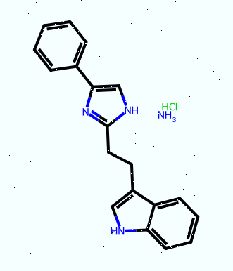 Cl.N.c1ccc(-c2c[nH]c(CCc3c[nH]c4ccccc34)n2)cc1